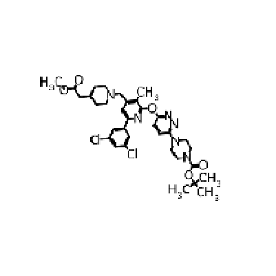 COC(=O)CC1CCN(Cc2cc(-c3cc(Cl)cc(Cl)c3)nc(Oc3ccc(N4CCN(C(=O)OC(C)(C)C)CC4)nn3)c2C)CC1